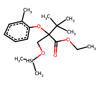 CCOC(=O)C(CO[SiH](C)C)(Oc1ccccc1C)C(C)(C)C